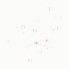 CCCC(=O)OC(O)(C(=O)C(C)N)C(C(=O)O)(C(=O)C(N)C(C)CC)N(C(=O)C(N)CCC(=O)O)C(=O)C(N)Cc1ccccc1